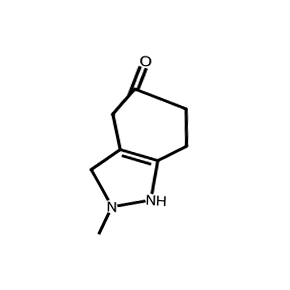 CN1CC2=C(CCC(=O)C2)N1